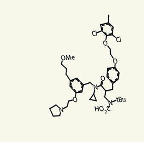 COCCCc1cc(CN(C(=O)C(Cc2ccc(OCCOc3c(Cl)cc(C)cc3Cl)cc2)CN(C(=O)O)C(C)(C)C)C2CC2)cc(OCCN2CCCC2)c1